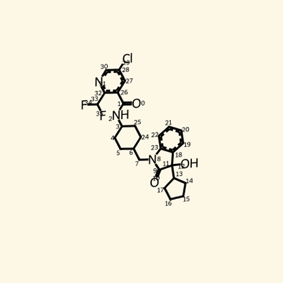 O=C(NC1CCC(CN2C(=O)C(O)(C3CCCC3)c3ccccc32)CC1)c1cc(Cl)cnc1C(F)F